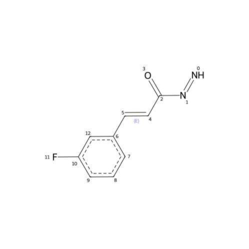 N=NC(=O)/C=C/c1cccc(F)c1